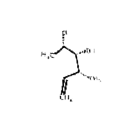 C=C[C@@H](C)[C@@H](O)[C@H](C)CC